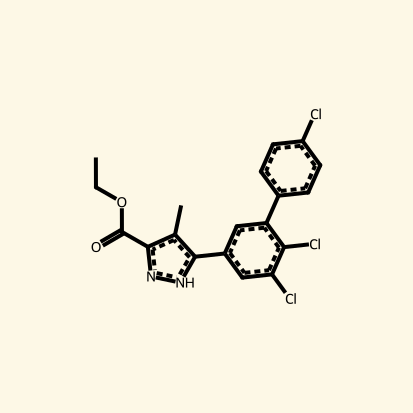 CCOC(=O)c1n[nH]c(-c2cc(Cl)c(Cl)c(-c3ccc(Cl)cc3)c2)c1C